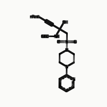 CCCCCC#CC(O)(CS(=O)(=O)N1CCN(c2ccccn2)CC1)NC=O